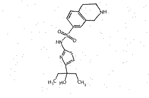 CCC(O)(CC)c1csc(NS(=O)(=O)c2ccc3c(c2)CNCC3)n1